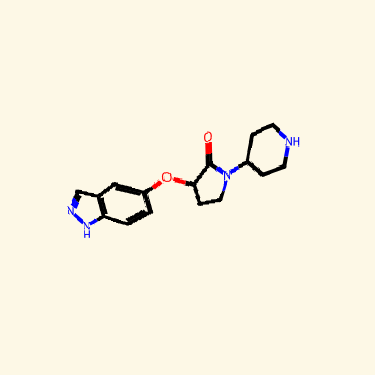 O=C1C(Oc2ccc3[nH]ncc3c2)CCN1C1CCNCC1